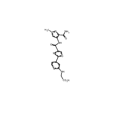 Cn1cc(NC(=O)c2coc(-c3ccnc(NCC(=O)O)c3)n2)c(C(N)=O)n1